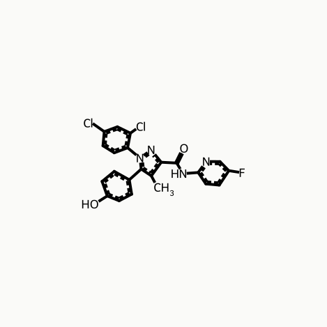 Cc1c(C(=O)Nc2ccc(F)cn2)nn(-c2ccc(Cl)cc2Cl)c1-c1ccc(O)cc1